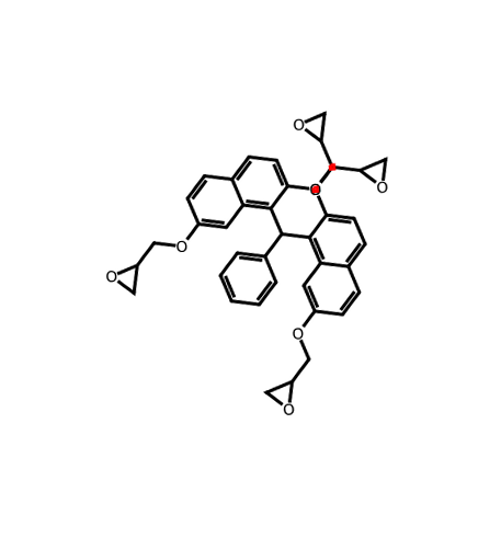 c1ccc(C(c2c(OCC3CO3)ccc3ccc(OCC4CO4)cc23)c2c(OCC3CO3)ccc3ccc(OCC4CO4)cc23)cc1